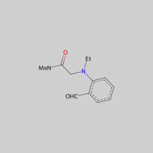 CCN(CC(=O)NC)c1ccccc1C=O